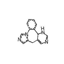 C1=NC=C2Cc3cncn3-c3ccccc3C2N1